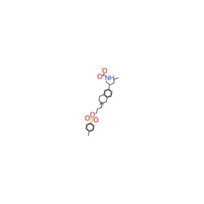 CCCC(CNC(=O)OC)c1ccc2c(c1)CC[C@H](CCCOS(=O)(=O)c1ccc(C)cc1)C2